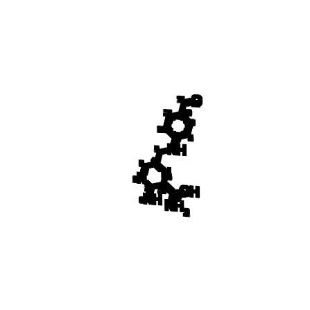 N=C1N=CC(CNc2ccc(C=O)cc2)=N/C1=C(/N)O